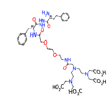 N[C@H](CCc1ccccc1)C(=O)NNC(=O)[C@@H](Cc1ccccc1)NC(=O)COCCOCCNC(=O)CN(CCN(CC(=O)O)CC(=O)O)CCN(CC(=O)O)CC(=O)O